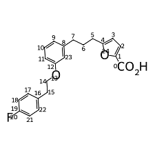 O=C(O)c1ccc(CCCc2cccc(OCCc3ccc(F)cc3)c2)o1